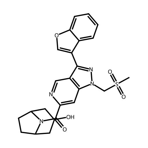 CS(=O)(=O)Cn1nc(-c2coc3ccccc23)c2cnc(C(=O)N3C4CCC3CC(O)C4)cc21